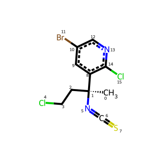 C[C@@](CCCl)(N=C=S)c1cc(Br)cnc1Cl